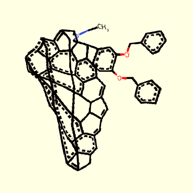 CN1CC2C3=c4c5c6c7c(cc8c9c%10c%11c%12c%13c%14c(cc%15c%16c(c4c(c5c%11c79)c%12c%14%16)=C(C3)C%15)=CC3=CC(=C8)C%10C3%13)CC62C1c1ccc(OCc2ccccc2)c(OCc2ccccc2)c1